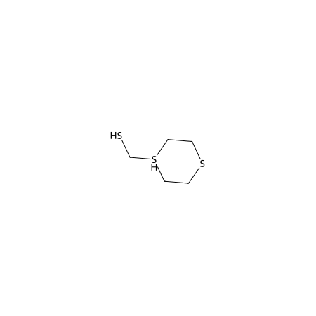 SC[SH]1CCSCC1